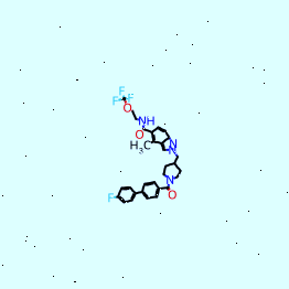 Cc1c(C(=O)NCCOC(F)(F)F)ccc2nn(CC3CCN(C(=O)c4ccc(-c5ccc(F)cc5)cc4)CC3)cc12